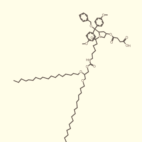 CCCCCCCCCCCCCCCCCCOCC(COC(=O)NCCCCCC(=O)N1CC(OC(=O)CCC(=O)O)CC1C(OCc1ccccc1)(c1ccc(OC)cc1)c1ccc(OC)cc1)OCCCCCCCCCCCCCCCCCC